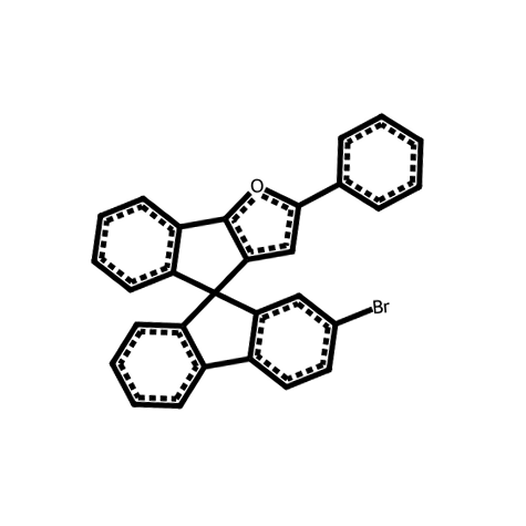 Brc1ccc2c(c1)C1(c3ccccc3-2)c2ccccc2-c2oc(-c3ccccc3)cc21